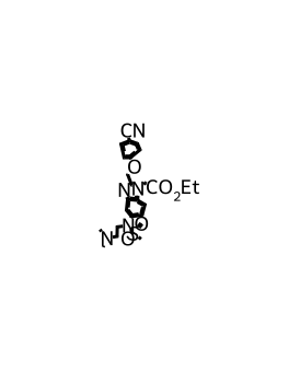 CCOC(=O)Cn1c(COc2ccc(C#N)cc2)nc2cc(N(CCN(C)C)S(C)(=O)=O)ccc21